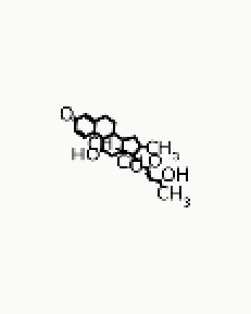 CC(O)CC(=O)OC1C(C)CC2C3CCC4=CC(=O)C=CC4(C)C3C(O)CC21C